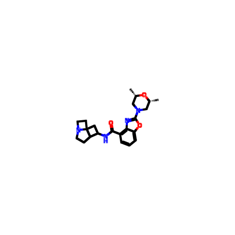 C[C@@H]1CN(c2nc3c(C(=O)NC4CC56CCN5CCC46)cccc3o2)C[C@H](C)O1